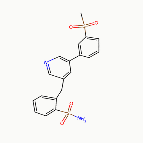 CS(=O)(=O)c1cccc(-c2cncc(Cc3ccccc3S(N)(=O)=O)c2)c1